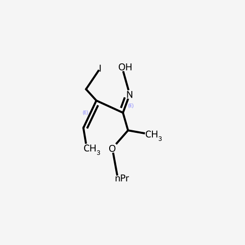 C/C=C(CI)\C(=N/O)C(C)OCCC